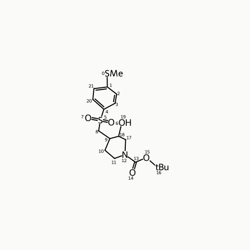 CSc1ccc(S(=O)(=O)CC2CCN(C(=O)OC(C)(C)C)CC2O)cc1